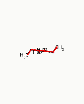 CCCCCCCC/C=C\CCCCCCCCCCC(CCCCCCC(CCCCCCCCCC/C=C\CCCCCCCC)C(=O)O)C(N)=O